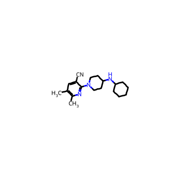 Cc1cc(C#N)c(N2CCC(NC3CCCCC3)CC2)nc1C